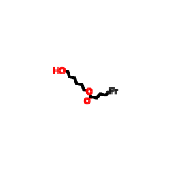 CC(C)CCCC(=O)OCCCCCCO